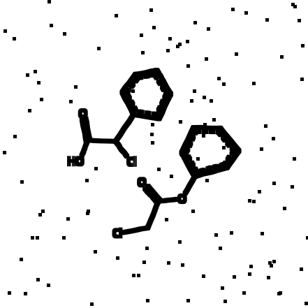 O=C(CCl)Oc1ccccc1.O=C(O)C(Cl)c1ccccc1